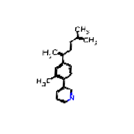 C=C(C)CCC(=C)c1ccc(-c2cccnc2)c(C)c1